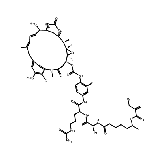 C=C(CBr)C(=O)OC(C)CCCCC(=O)N[C@H](C(=O)N[C@@H](CCCNC(N)=O)C(=O)Nc1ccc(NC(=O)O[C@H]2CC(=O)N(C)c3cc(cc(OC)c3Cl)C/C(C)=C/C=C/[C@@H](OC)[C@@]3(O)C[C@H](OC(=O)N3)[C@@H](C)[C@@H]3O[C@@]23C)c(F)c1)C(C)C